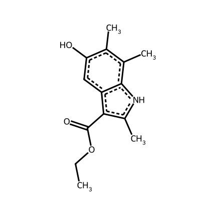 CCOC(=O)c1c(C)[nH]c2c(C)c(C)c(O)cc12